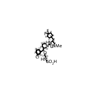 CNCC(CC1CCC(F)(F)CC1)NC(=O)N1CCCC(C(OCCNC(=O)O)c2cccc(Cl)c2)C1